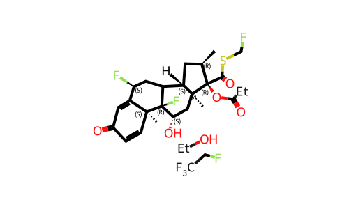 CCC(=O)O[C@]1(C(=O)SCF)[C@H](C)C[C@H]2C3C[C@H](F)C4=CC(=O)C=C[C@]4(C)[C@@]3(F)[C@@H](O)C[C@@]21C.CCO.FCC(F)(F)F